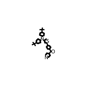 CC(C)(C)c1ccc(N(c2ccc(C(C)(C)C)cc2)c2csc(-c3ccc(C(=O)c4ccncc4)cc3)c2)cc1